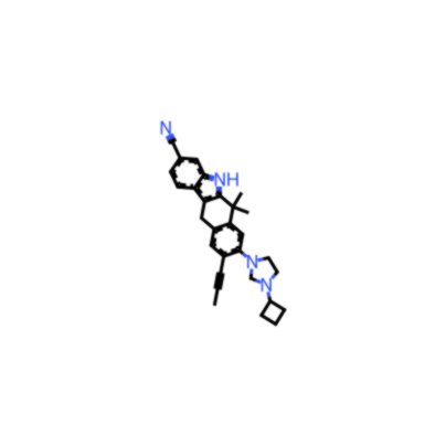 CC#Cc1cc2c(cc1N1CCN(C3CCC3)C1)C(C)(C)c1[nH]c3cc(C#N)ccc3c1C2